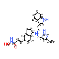 CCCc1cc(CN(CCc2c[nH]c3ccccc23)C2CCc3cc(C=CC(=O)NO)ccc32)[nH]n1